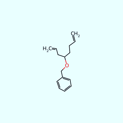 C=CCCC(CC=C)OCc1ccccc1